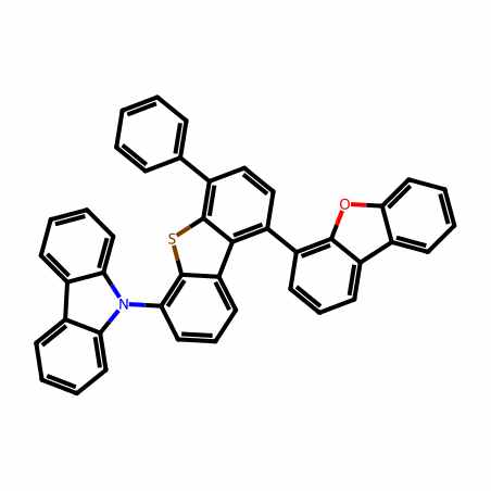 c1ccc(-c2ccc(-c3cccc4c3oc3ccccc34)c3c2sc2c(-n4c5ccccc5c5ccccc54)cccc23)cc1